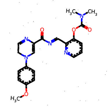 COc1ccc(N2C=C(C(=O)N=Cc3ncccc3OC(=O)N(C)C)N=CC2)cc1